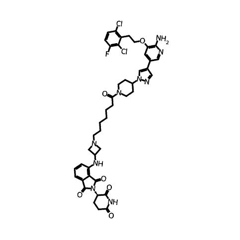 Nc1ncc(-c2cnn(C3CCN(C(=O)CCCCCCN4CC(Nc5cccc6c5C(=O)N([C@@H]5CCC(=O)NC5=O)C6=O)C4)CC3)c2)cc1OCCc1c(Cl)ccc(F)c1Cl